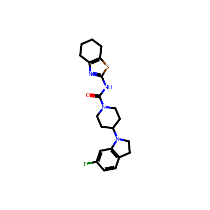 O=C(Nc1nc2c(s1)CCCC2)N1CCC(N2CCc3ccc(F)cc32)CC1